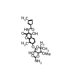 CO[C@@H]1[C@@H](OC(N)=O)[C@@H](O)[C@H](Oc2ccc3c(O)c(NC(=O)C4=CC(C)=CC4)c(=O)oc3c2C)OC1(C)C